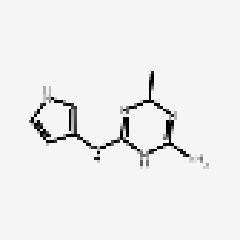 CC1N=C(N)NC(Nc2cc[nH]c2)=N1